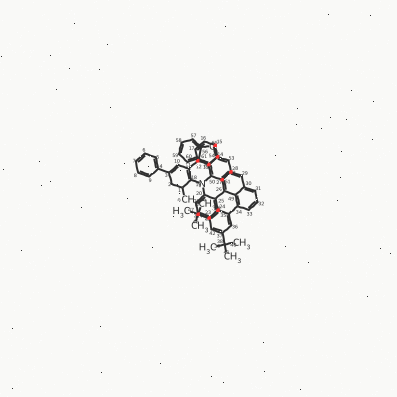 CC1CC(c2ccccc2)=CC(c2ccccc2)=C1N(c1ccccc1-c1cccc2cccc(-c3cc(C(C)(C)C)cc(C(C)(C)C)c3)c12)c1cccc2oc3ccccc3c12